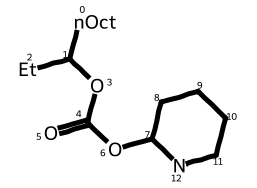 CCCCCCCCC(CC)OC(=O)OC1CCCC[N]1